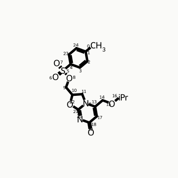 Cc1ccc(S(=O)(=O)OCC2Cn3c(COC(C)C)cc(=O)nc3O2)cc1